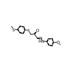 COc1ccc(NN=CC(=O)CSc2ccc(SC)cc2)cc1